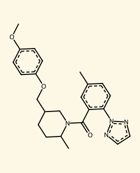 COc1ccc(OCC2CCC(C)N(C(=O)c3cc(C)ccc3-n3nccn3)C2)cc1